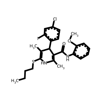 CCCCSC1=C(C)C(c2ccc(Cl)cc2I)C(C(=O)Nc2ccccc2OC)=C(C)N1